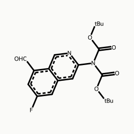 CC(C)(C)OC(=O)N(C(=O)OC(C)(C)C)c1cc2cc(F)cc(C=O)c2cn1